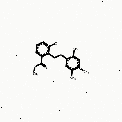 COC(=O)c1cccc(Cl)c1COc1cc(C)c(C)cc1C